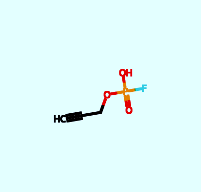 C#CCOP(=O)(O)F